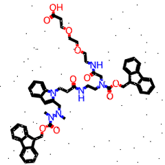 CN(Cc1cc2ccccc2n1CCC(=O)NCCN(CC(=O)NCCOCCOCCC(=O)O)C(=O)OCC1c2ccccc2-c2ccccc21)N(C)C(=O)OCC1c2ccccc2-c2ccccc21